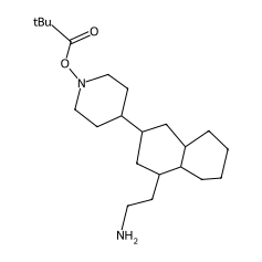 CC(C)(C)C(=O)ON1CCC(C2CC(CCN)C3CCCCC3C2)CC1